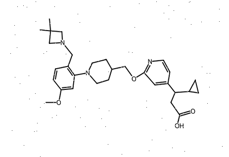 COc1ccc(CN2CC(C)(C)C2)c(N2CCC(COc3cc(C(CC(=O)O)C4CC4)ccn3)CC2)c1